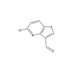 O=Cc1csc2ccc(Cl)nc12